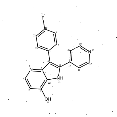 Oc1ccnc2c(-c3ccc(F)cc3)c(-c3ccncc3)[nH]c12